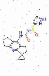 O=C(/N=[SH](=O)/c1cc[nH]n1)Nc1c2c(nc3c1CCC31CC1)CCC2